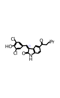 CC(C)CC(=O)c1ccc2c(c1)/C(=C/c1cc(Cl)c(O)c(Cl)c1)C(=O)N2